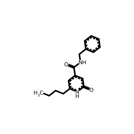 CCCCc1cc(C(=O)NCc2ccccc2)cc(=O)[nH]1